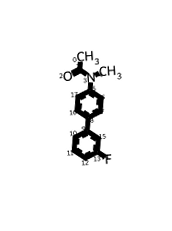 CC(=O)N(C)c1ccc(-c2cccc(F)c2)cc1